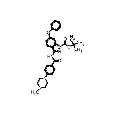 CN1CCN(c2ccc(C(=O)Nc3nn(C(=O)OC(C)(C)C)c4cc(Oc5ccccc5)ccc34)cc2)CC1